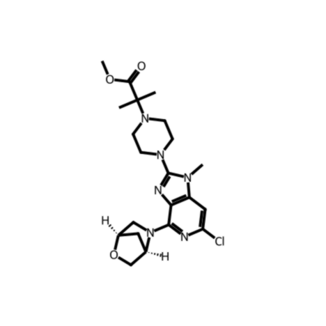 COC(=O)C(C)(C)N1CCN(c2nc3c(N4C[C@H]5C[C@@H]4CO5)nc(Cl)cc3n2C)CC1